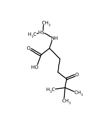 C[SH](C)NC(CCC(=O)C(C)(C)C)C(=O)O